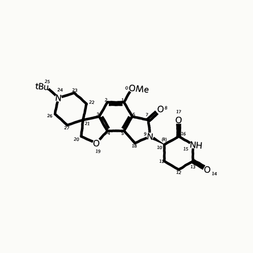 COc1cc2c(c3c1C(=O)N([C@@H]1CCC(=O)NC1=O)C3)OCC21CCN(C(C)(C)C)CC1